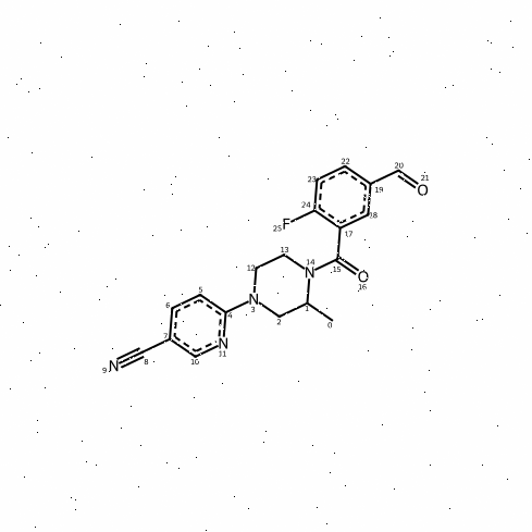 CC1CN(c2ccc(C#N)cn2)CCN1C(=O)c1cc(C=O)ccc1F